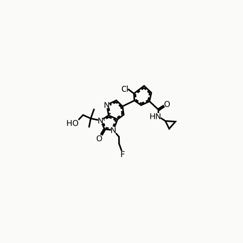 CC(C)(CO)n1c(=O)n(CCF)c2cc(-c3cc(C(=O)NC4CC4)ccc3Cl)cnc21